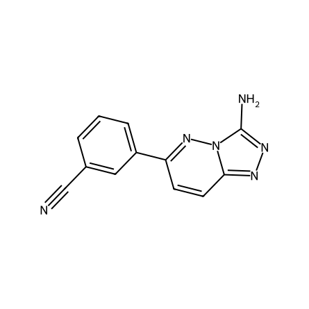 N#Cc1cccc(-c2ccc3nnc(N)n3n2)c1